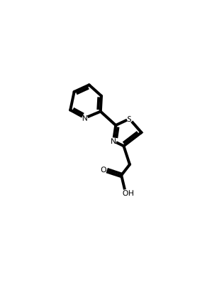 O=C(O)Cc1csc(-c2ccccn2)n1